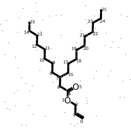 C=CCOC(=O)CC(CCCCCCCC)CCCCCCCCCC